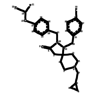 O=C1CC2(CCN(CC3CC3)CC2)N(Cc2ccc(F)cc2)N1Cc1ccc(OC(F)F)cc1